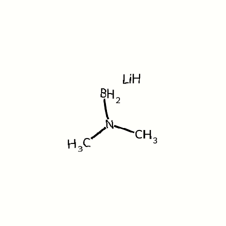 BN(C)C.[LiH]